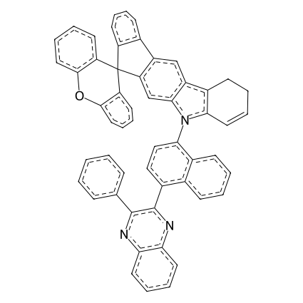 C1=Cc2c(c3cc4c(cc3n2-c2ccc(-c3nc5ccccc5nc3-c3ccccc3)c3ccccc23)C2(c3ccccc3Oc3ccccc32)c2ccccc2-4)CC1